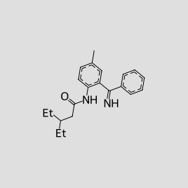 CCC(CC)CC(=O)Nc1ccc(C)cc1C(=N)c1ccccc1